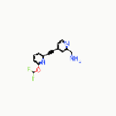 NCc1cc(C#Cc2cccc(OC(F)F)n2)ccn1